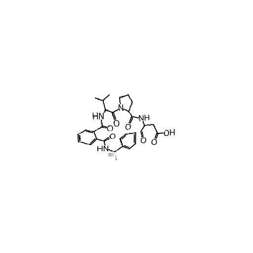 CC(C)C(NC(=O)c1ccccc1C(=O)N[C@@H](C)c1ccccc1)C(=O)N1CCCC1C(=O)NC(C=O)CC(=O)O